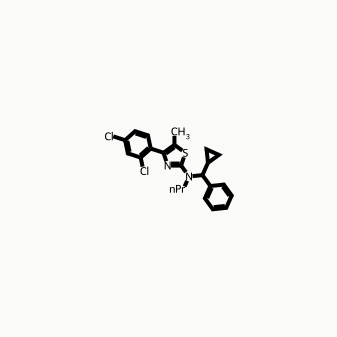 CCCN(c1nc(-c2ccc(Cl)cc2Cl)c(C)s1)C(c1ccccc1)C1CC1